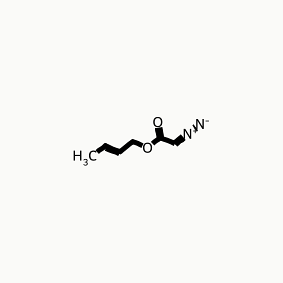 CC=CCOC(=O)C=[N+]=[N-]